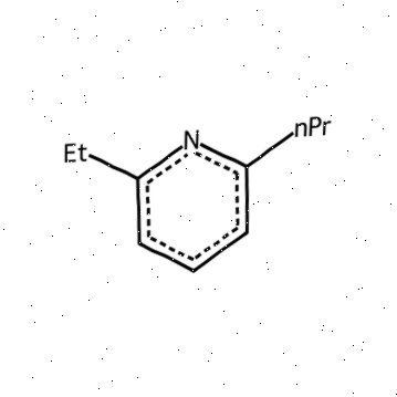 CCCc1cccc(CC)n1